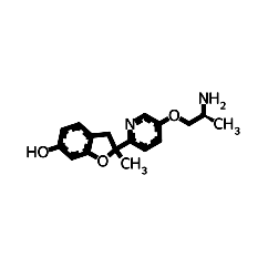 C[C@H](N)COc1ccc(C2(C)Cc3ccc(O)cc3O2)nc1